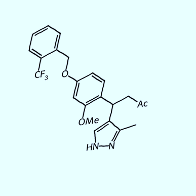 COc1cc(OCc2ccccc2C(F)(F)F)ccc1C(CC(C)=O)c1c[nH]nc1C